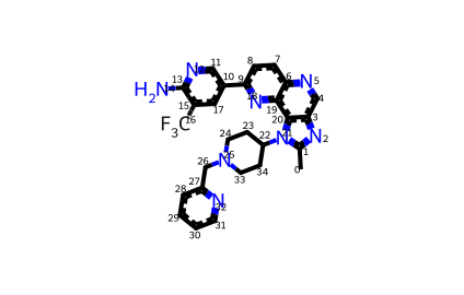 Cc1nc2cnc3ccc(-c4cnc(N)c(C(F)(F)F)c4)nc3c2n1C1CCN(Cc2ccccn2)CC1